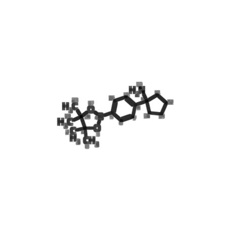 CC1(C)OB(c2ccc(C3(N)CCCC3)cc2)OC1(C)C